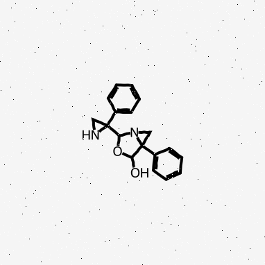 OC1OC(C2(c3ccccc3)CN2)N2CC12c1ccccc1